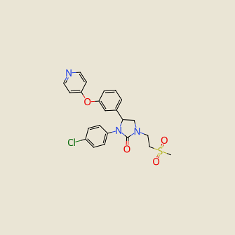 CS(=O)(=O)CCN1CC(c2cccc(Oc3ccncc3)c2)N(c2ccc(Cl)cc2)C1=O